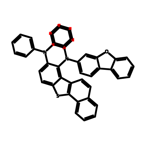 c1ccc(N(c2ccccc2)c2ccc3sc4c5ccccc5ccc4c3c2N(c2ccccc2)c2ccc3c(c2)oc2ccccc23)cc1